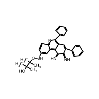 CC(C)(O)C(C)(C)OBc1ccc2nc(-c3ccccc3)c3c(c2c1)C(=N)C(=N)C(c1ccccc1)=C3